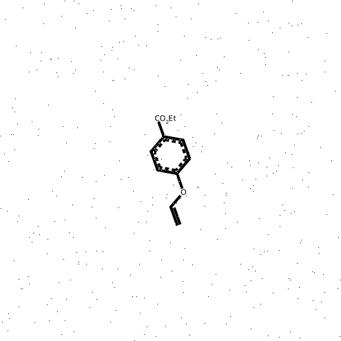 C=COc1ccc(C(=O)OCC)cc1